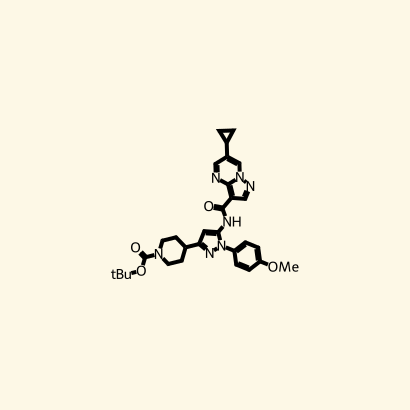 COc1ccc(-n2nc(C3CCN(C(=O)OC(C)(C)C)CC3)cc2NC(=O)c2cnn3cc(C4CC4)cnc23)cc1